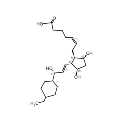 CCC1CCC([C@H](O)/C=C/[C@@H]2[C@@H](C/C=C\CCCC(=O)O)[C@@H](O)C[C@H]2O)CC1